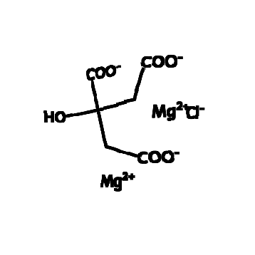 O=C([O-])CC(O)(CC(=O)[O-])C(=O)[O-].[Cl-].[Mg+2].[Mg+2]